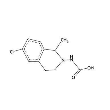 CC1c2ccc(Cl)cc2CCN1NC(=O)O